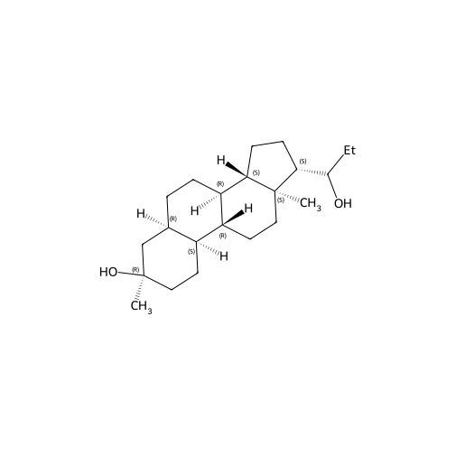 CCC(O)[C@H]1CC[C@H]2[C@@H]3CC[C@@H]4C[C@](C)(O)CC[C@@H]4[C@H]3CC[C@]12C